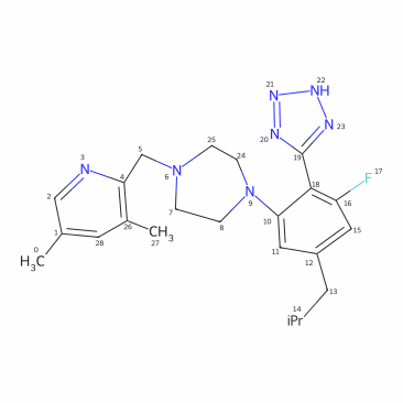 Cc1cnc(CN2CCN(c3cc(CC(C)C)cc(F)c3-c3nn[nH]n3)CC2)c(C)c1